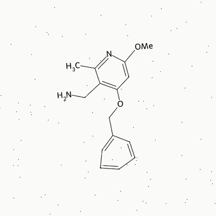 COc1cc(OCc2ccccc2)c(CN)c(C)n1